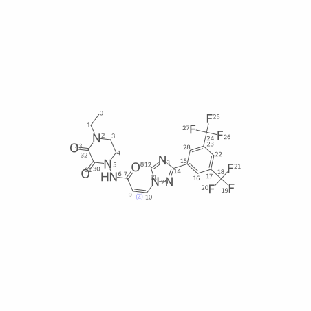 CCN1CCN(NC(=O)/C=C\n2cnc(-c3cc(C(F)(F)F)cc(C(F)(F)F)c3)n2)C(=O)C1=O